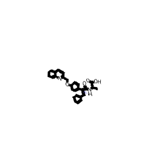 CC(NC(=O)/C(=C/c1ccccc1)c1ccc(OCc2ccc3ccccc3n2)cc1)C(=O)O